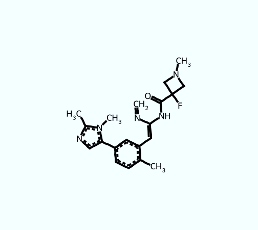 C=N/C(=C\c1cc(-c2cnc(C)n2C)ccc1C)NC(=O)C1(F)CN(C)C1